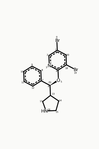 Brc1cnc(O[C@H](c2ccccc2)C2CCNC2)c(Br)c1